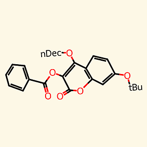 CCCCCCCCCCOc1c(OC(=O)c2ccccc2)c(=O)oc2cc(OC(C)(C)C)ccc12